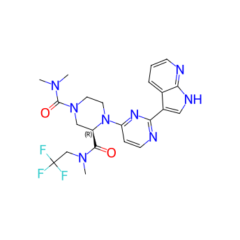 CN(C)C(=O)N1CCN(c2ccnc(-c3c[nH]c4ncccc34)n2)[C@@H](C(=O)N(C)CC(F)(F)F)C1